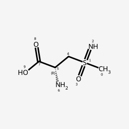 CS(=N)(=O)C[C@H](N)C(=O)O